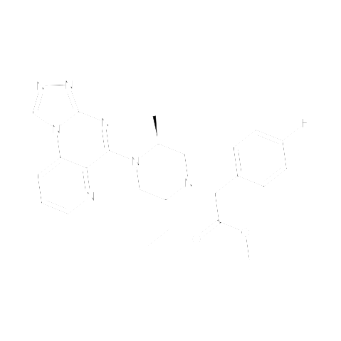 CC[C@@H]1CN(c2nc3nncn3c3cccnc23)[C@@H](C)CN1[C@@H](C(=O)OC)c1ccc(F)cc1